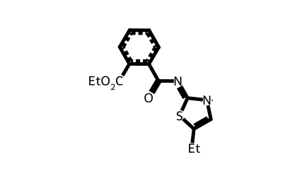 CCOC(=O)c1ccccc1C(=O)N=C1[N]C=C(CC)S1